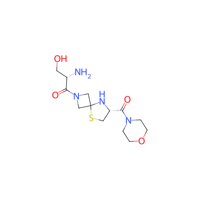 N[C@@H](CO)C(=O)N1CC2(C1)N[C@H](C(=O)N1CCOCC1)CS2